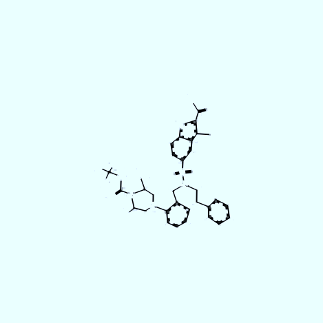 Cc1c(C(=O)O)oc2ccc(S(=O)(=O)N(CCc3ccccc3)Cc3ccccc3N3CC(C)N(C(=O)OC(C)(C)C)C(C)C3)cc12